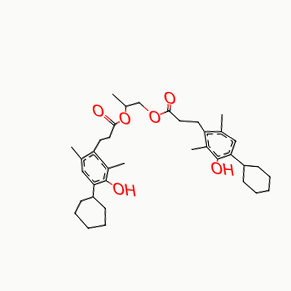 Cc1cc(C2CCCCC2)c(O)c(C)c1CCC(=O)OCC(C)OC(=O)CCc1c(C)cc(C2CCCCC2)c(O)c1C